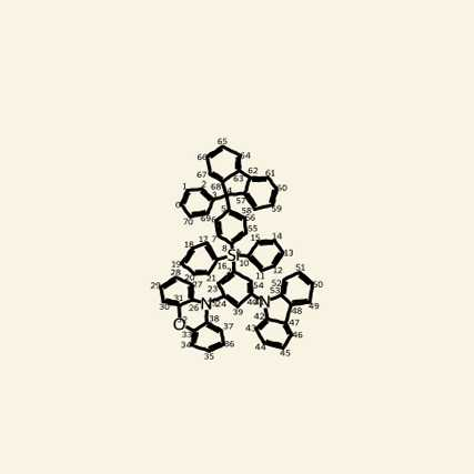 c1ccc(C2(c3ccc([Si](c4ccccc4)(c4ccccc4)c4cc(N5c6ccccc6Oc6ccccc65)cc(-n5c6ccccc6c6ccccc65)c4)cc3)c3ccccc3-c3ccccc32)cc1